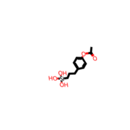 CC(=O)Oc1ccc(CCC[Si](O)(O)O)cc1